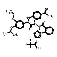 CCOc1cc(C(Nc2ccc(C(=N)N)cc2)C(=O)NNC(=O)c2ccccc2-n2cccc2)ccc1OC(C)C.O=C(O)C(F)(F)F